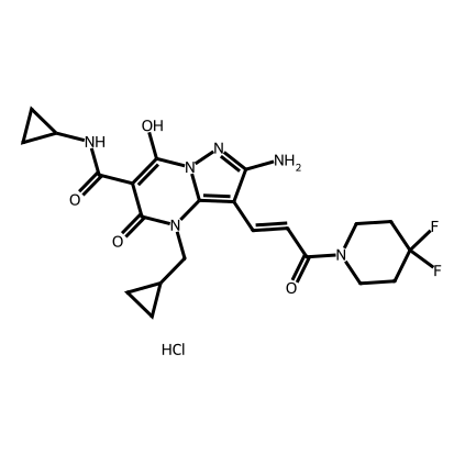 Cl.Nc1nn2c(O)c(C(=O)NC3CC3)c(=O)n(CC3CC3)c2c1C=CC(=O)N1CCC(F)(F)CC1